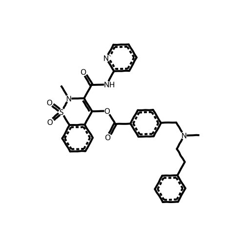 CN(CCc1ccccc1)Cc1ccc(C(=O)OC2=C(C(=O)Nc3ccccn3)N(C)S(=O)(=O)c3ccccc32)cc1